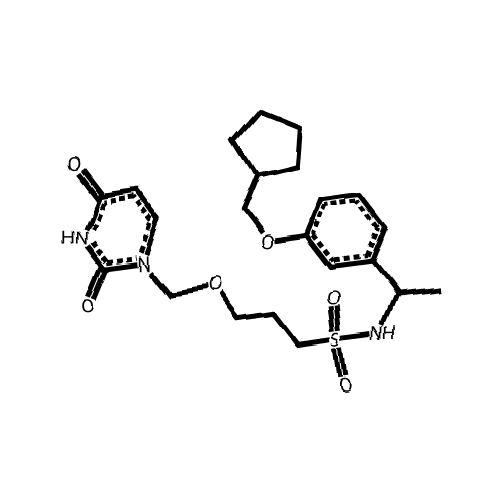 CC(NS(=O)(=O)CCCOCn1ccc(=O)[nH]c1=O)c1cccc(OCC2CCCC2)c1